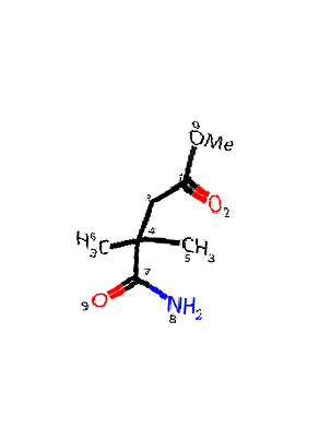 COC(=O)CC(C)(C)C(N)=O